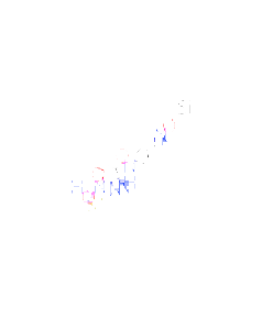 Cc1nn(COCC[Si](C)(C)C)c(C)c1-c1ccc(NC(=O)[C@H](c2cnn(CCC[S+](C)[O-])c2C(N)=O)C2CCC(C)CC2)cc1